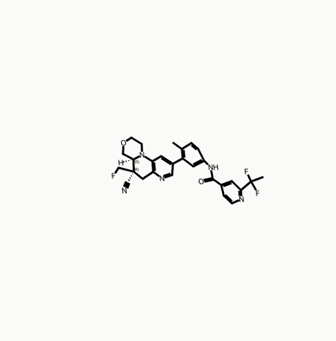 Cc1ccc(NC(=O)c2ccnc(C(C)(F)F)c2)cc1-c1cnc2c(c1)N1CCOC[C@@H]1[C@](C#N)(CF)C2